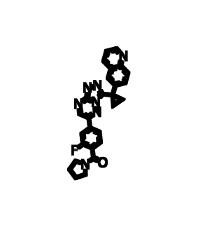 O=C(c1ccc(-c2cnc3nnc(C4(c5ccc6ncccc6c5)CC4)n3n2)cc1F)N1CCCC1